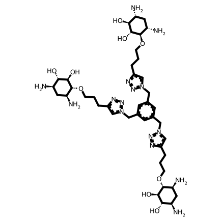 N[C@@H]1C[C@H](N)[C@@H](OCCCc2cn(Cc3cc(Cn4cc(CCCO[C@H]5[C@H](O)[C@@H](O)[C@H](N)C[C@@H]5N)nn4)cc(Cn4cc(CCCO[C@H]5[C@H](O)[C@@H](O)[C@H](N)C[C@@H]5N)nn4)c3)nn2)[C@H](O)[C@H]1O